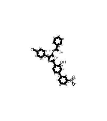 O=C(Nc1oc(-c2ccc(-c3cccc([N+](=O)[O-])c3)cc2O)nc1-c1ccc(Cl)cc1)c1ccccc1